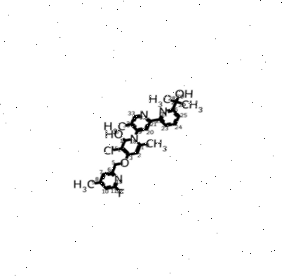 CC1=CC(OCc2cc(C)cc(F)n2)=C(Cl)C(O)N1c1cc(-c2cccc(C(C)(C)O)n2)ncc1C